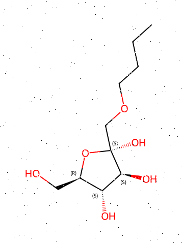 CCCCOC[C@]1(O)O[C@H](CO)[C@@H](O)[C@@H]1O